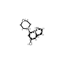 Clc1cc(N2CCOCC2)n2nccc2c1